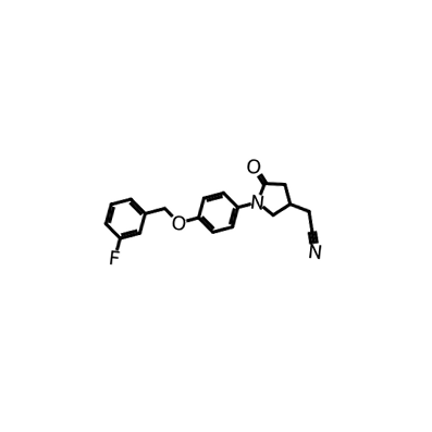 N#CCC1CC(=O)N(c2ccc(OCc3cccc(F)c3)cc2)C1